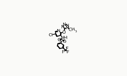 Cn1nnnc1Oc1ncc(Cl)cc1NS(=O)(=O)c1cccc(C(F)(F)F)c1